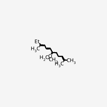 C=C.CCC(C)=CC=CC(=O)CCC=C(C)C